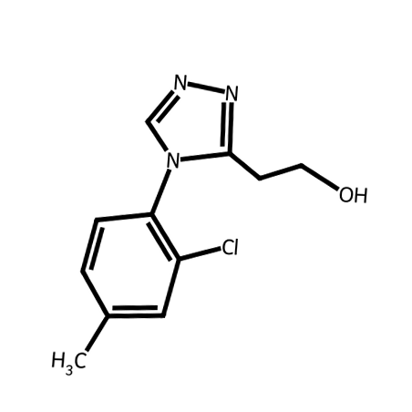 Cc1ccc(-n2cnnc2CCO)c(Cl)c1